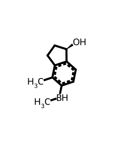 CBc1ccc2c(c1C)CC[C@H]2O